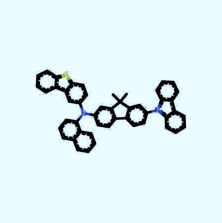 CC1(C)c2cc(N(c3ccc4sc5ccccc5c4c3)c3cccc4ccccc34)ccc2-c2ccc(-n3c4ccccc4c4ccccc43)cc21